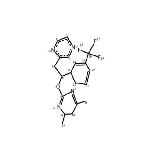 CC1=NC(OC(Cc2cnccn2)C2C=C(C(F)(F)F)C=CC2)=NC(C)C1